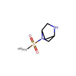 CCCCCS(=O)(=O)N1CC2CC1CN2